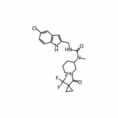 CN(C(=O)NCc1cc2cc(Cl)ccc2[nH]1)C1CCCN(C(=O)C2(C(F)(F)F)CC2)C1